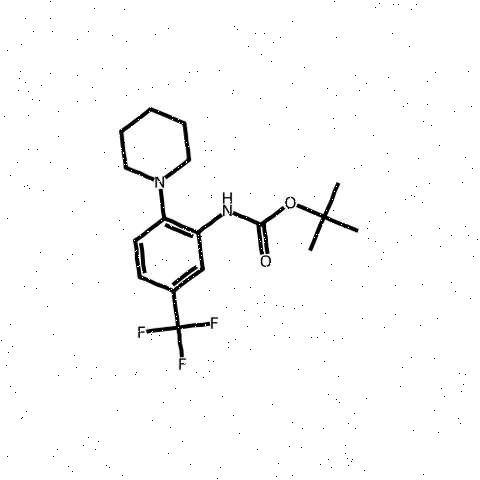 CC(C)(C)OC(=O)Nc1cc(C(F)(F)F)ccc1N1CCCCC1